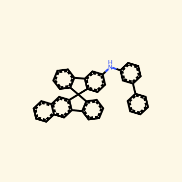 c1ccc(-c2cccc(Nc3ccc4c(c3)-c3ccccc3C43c4ccccc4-c4cc5ccccc5cc43)c2)cc1